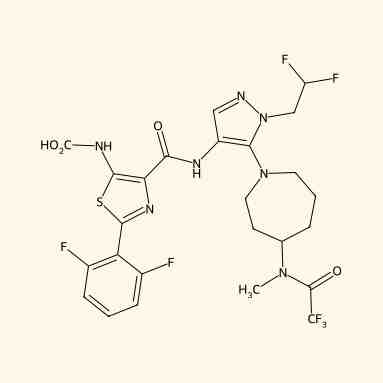 CN(C(=O)C(F)(F)F)C1CCCN(c2c(NC(=O)c3nc(-c4c(F)cccc4F)sc3NC(=O)O)cnn2CC(F)F)CC1